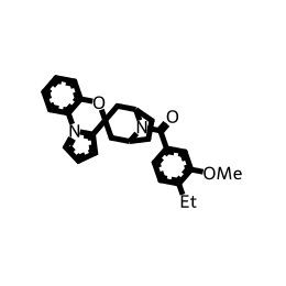 CCc1ccc(C(=O)N2C3CCC2CC2(C3)Oc3ccccc3-n3cccc32)cc1OC